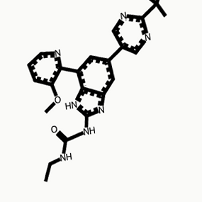 CCNC(=O)Nc1nc2cc(-c3cnc(C(C)(C)O)nc3)cc(-c3ncccc3OC)c2[nH]1